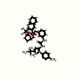 Cc1ccc(-n2nc(C(C)(C)C)cc2NC(=O)Nc2cccc(CC3CC4CCC(C3)N4C(=O)c3cc4cccnc4nc3C(F)(F)F)c2)cc1